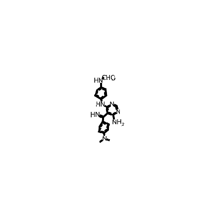 CN(C)c1ccc(C(=N)c2c(N)ncnc2Nc2ccc(NC=O)cc2)cc1